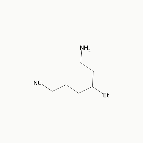 CCC(CCN)CCCC#N